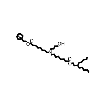 CCCCCC(CCCCC)CCOC(=O)CCCCCCCN(CCCCO)CCCCCCCC(=O)OCCC12CCC(CC1)CC2